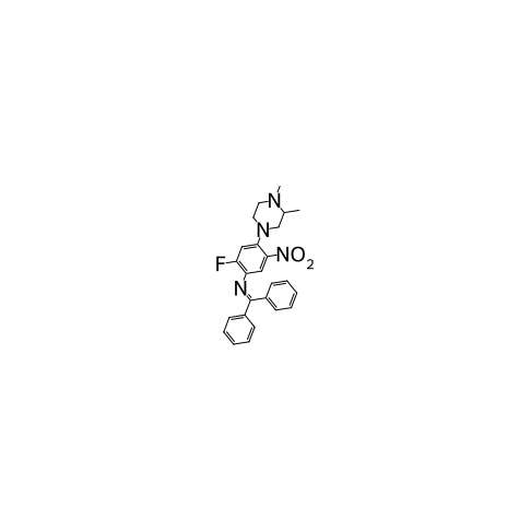 CC1CN(c2cc(F)c(N=C(c3ccccc3)c3ccccc3)cc2[N+](=O)[O-])CCN1C